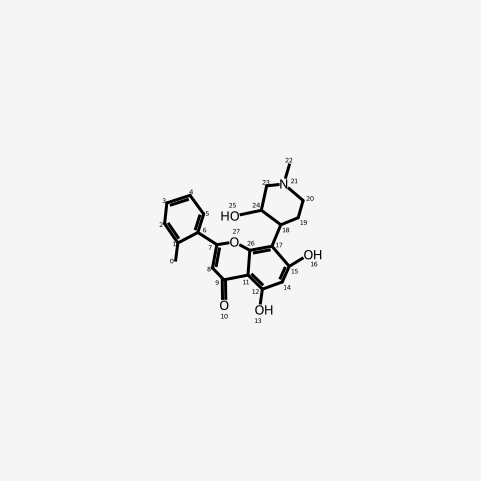 Cc1ccccc1-c1cc(=O)c2c(O)cc(O)c(C3CCN(C)CC3O)c2o1